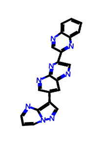 c1ccc2nc(-c3cnc4cc(-c5cnn6cccnc56)cnc4n3)cnc2c1